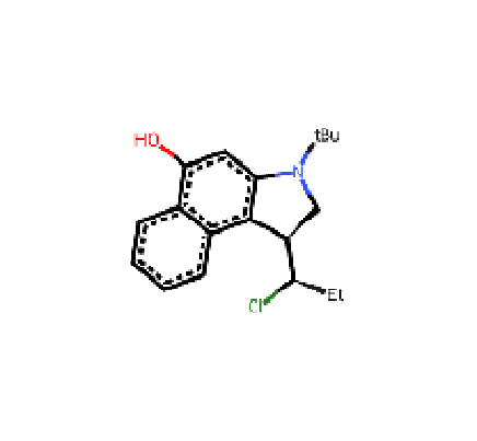 CC[C@@H](Cl)[C@@H]1CN(C(C)(C)C)c2cc(O)c3ccccc3c21